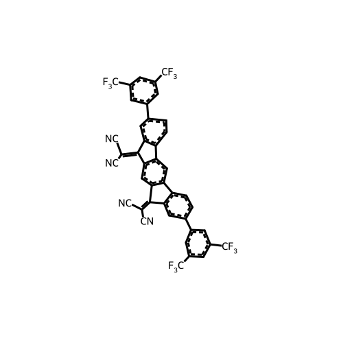 N#CC(C#N)=C1c2cc(-c3cc(C(F)(F)F)cc(C(F)(F)F)c3)ccc2-c2cc3c(cc21)C(=C(C#N)C#N)c1cc(-c2cc(C(F)(F)F)cc(C(F)(F)F)c2)ccc1-3